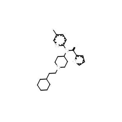 Cc1ccc(N(C(=O)c2ccco2)C2CCN(CCC3CC[CH]CC3)CC2)nc1